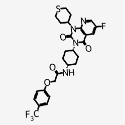 O=C(COc1ccc(C(F)(F)F)cc1)N[C@H]1CC[C@@H](n2c(=O)c3cc(F)cnc3n(C3CCSCC3)c2=O)CC1